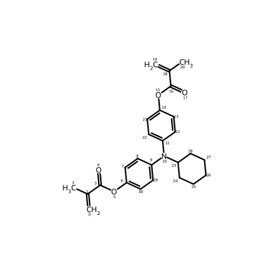 C=C(C)C(=O)Oc1ccc(N(c2ccc(OC(=O)C(=C)C)cc2)C2CCCCC2)cc1